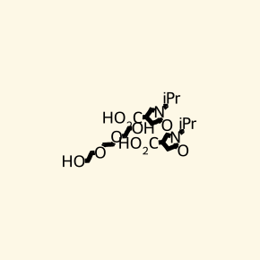 CC(C)CN1CC(C(=O)O)CC1=O.CC(C)CN1CC(C(=O)O)CC1=O.OCCOCCOCCO